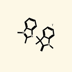 C=C1N(C)c2ccccc2C1(C)C.Cc1sc2ccccc2[n+]1C.[I-]